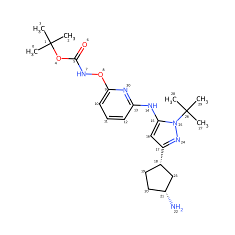 CC(C)(C)OC(=O)NOc1cccc(Nc2cc([C@H]3CC[C@@H](N)C3)nn2C(C)(C)C)n1